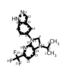 CC(C)N1CN(c2ccc3[nH]ncc3c2)c2nc(C(F)(F)F)ccc21